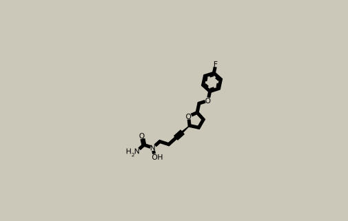 NC(=O)N(O)CCC#C[C@@H]1CCC(COc2ccc(F)cc2)O1